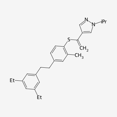 C=C(Sc1ccc(CCc2cc(CC)cc(CC)c2)cc1C)c1cnn(C(C)C)c1